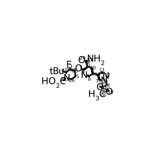 CC(C)(C)C1[C@H](F)[C@H](Oc2ncc(-c3cnn(CS(C)(=O)=O)c3)cc2C(N)=O)CCN1C(=O)O